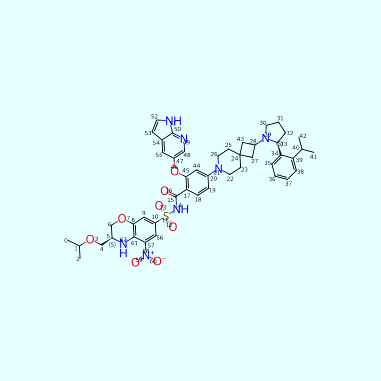 CC(C)OC[C@H]1COc2cc(S(=O)(=O)NC(=O)c3ccc(N4CCC5(CC4)CC(N4CCC[C@H]4c4ccccc4C(C)C)C5)cc3Oc3cnc4[nH]ccc4c3)cc([N+](=O)[O-])c2N1